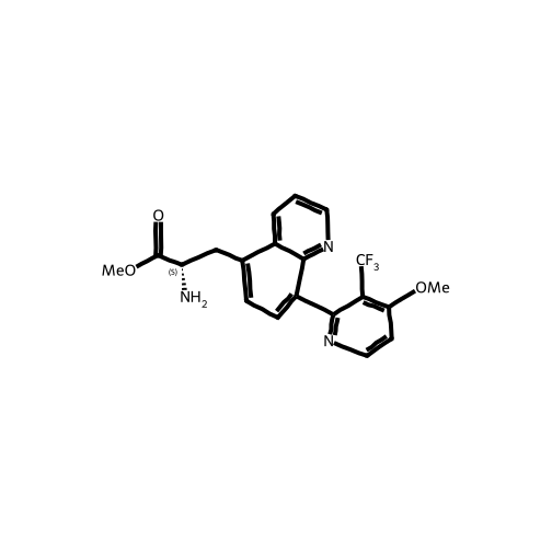 COC(=O)[C@@H](N)Cc1ccc(-c2nccc(OC)c2C(F)(F)F)c2ncccc12